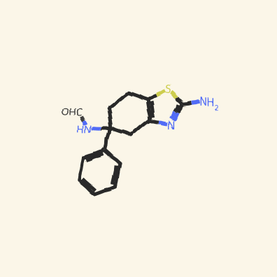 Nc1nc2c(s1)CCC(NC=O)(c1ccccc1)C2